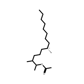 CCCCCCCC[C@H](C)CCCC(C)C(C)OC(C)=O